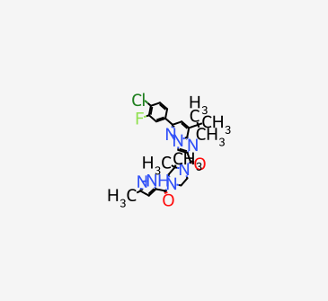 Cc1cc(C(=O)N2CCN(C(=O)c3cn4nc(-c5ccc(Cl)c(F)c5)cc(C(C)(C)C)c4n3)C(C)(C)C2)[nH]n1